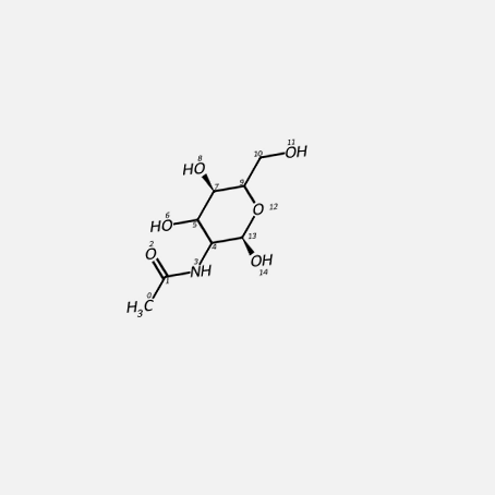 CC(=O)NC1C(O)[C@@H](O)C(CO)O[C@H]1O